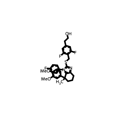 COc1ccc(C2(C)CCCc3nc(SCc4c(F)cc(CCO)cc4F)n(-c4ccc(F)cc4)c32)cc1OC